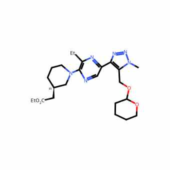 CCOC(=O)C[C@H]1CCCN(c2ncc(-c3nnn(C)c3COC3CCCCO3)nc2CC)C1